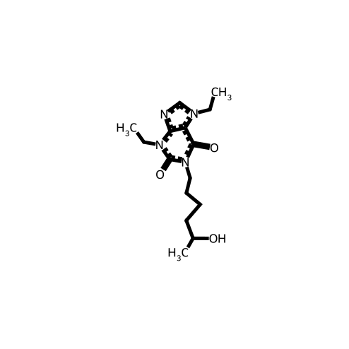 CCn1cnc2c1c(=O)n(CCCCC(C)O)c(=O)n2CC